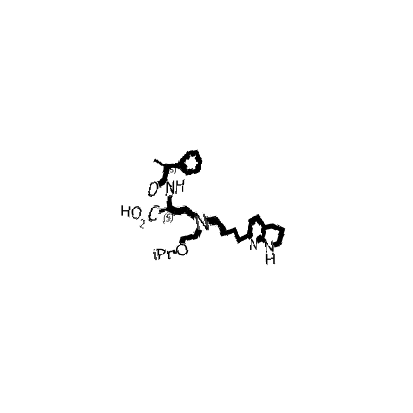 CC(C)OCCN(CCCCc1ccc2c(n1)NCCC2)CC[C@H](NC(=O)[C@@H](C)c1ccccc1)C(=O)O